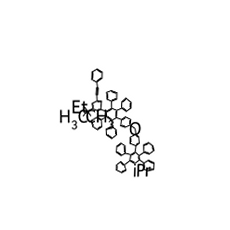 CCC(C)(C)c1cc(C#Cc2ccccc2)cc(-c2c(-c3ccccc3)c(-c3ccccc3)c(-c3ccc(Oc4ccc(-c5c(-c6ccccc6)c(-c6ccccc6)c(C(C)C)c(-c6ccccc6)c5-c5ccccc5)cc4)cc3)c(-c3ccccc3)c2-c2ccccc2)c1